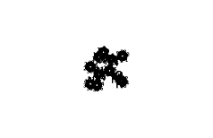 c1ccc(-c2cc(-c3cccc4cccnc34)nc(-c3cc(-c4nc(-c5ccccc5)cc(-c5cccc6cccnc56)n4)cc(-c4nc5ncccc5o4)c3)n2)cc1